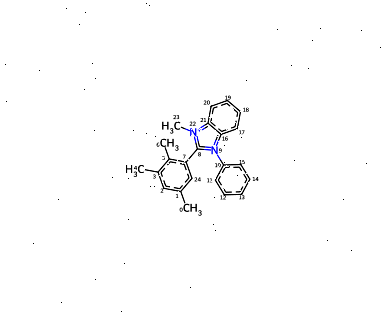 Cc1cc(C)c(C)c(-c2n(-c3ccccc3)c3ccccc3[n+]2C)c1